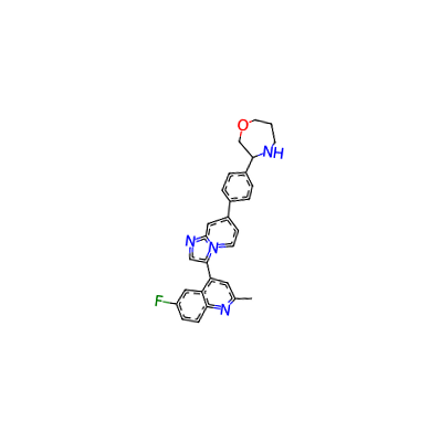 Cc1cc(-c2cnc3cc(-c4ccc(C5COCCCN5)cc4)ccn23)c2cc(F)ccc2n1